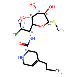 CCCC1=CCN[C@H](C(=O)N[C@@H](C2O[C@H](SC)[C@H](O)[C@@H](O)[C@H]2O)[C@H](C)Cl)C1